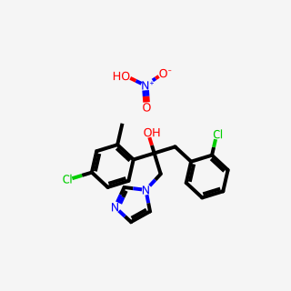 Cc1cc(Cl)ccc1C(O)(Cc1ccccc1Cl)Cn1ccnc1.O=[N+]([O-])O